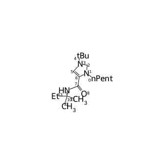 CCCCCN1CN(C(C)(C)C)C=C1C(=O)NC(C)(C)CC